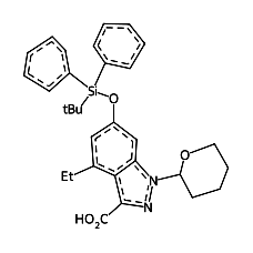 CCc1cc(O[Si](c2ccccc2)(c2ccccc2)C(C)(C)C)cc2c1c(C(=O)O)nn2C1CCCCO1